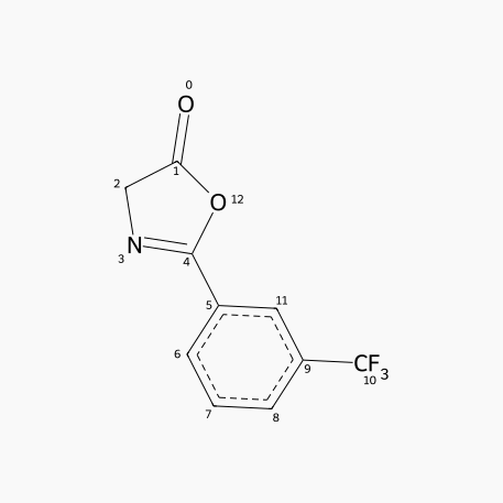 O=C1CN=C(c2cccc(C(F)(F)F)c2)O1